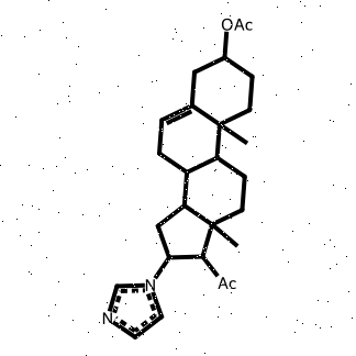 CC(=O)OC1CCC2(C)C(=CCC3C2CCC2(C)C3CC(n3ccnc3)C2C(C)=O)C1